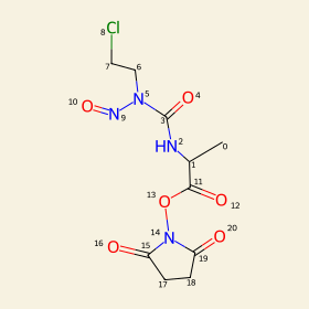 CC(NC(=O)N(CCCl)N=O)C(=O)ON1C(=O)CCC1=O